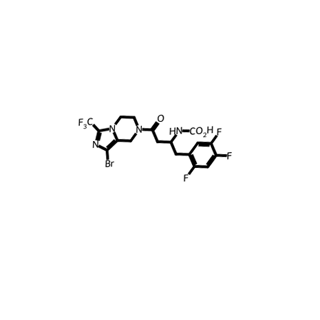 O=C(O)NC(CC(=O)N1CCn2c(C(F)(F)F)nc(Br)c2C1)Cc1cc(F)c(F)cc1F